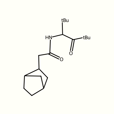 CC(C)(C)C(=O)C(NC(=O)CC1CC2CCC1C2)C(C)(C)C